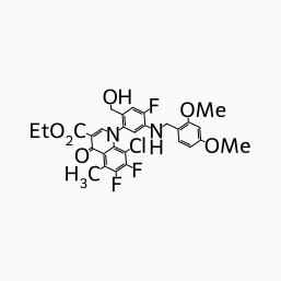 CCOC(=O)c1cn(-c2cc(NCc3ccc(OC)cc3OC)c(F)cc2CO)c2c(Cl)c(F)c(F)c(C)c2c1=O